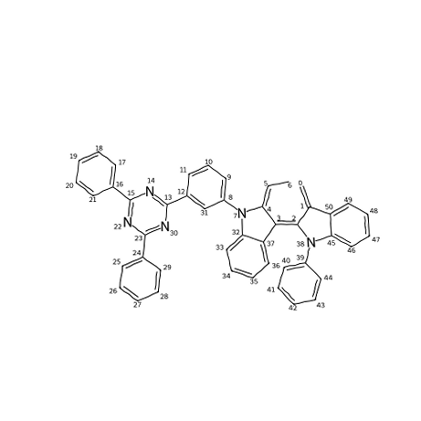 C=c1/c(=c2\c(=C/C)n(-c3cccc(-c4nc(-c5ccccc5)nc(-c5ccccc5)n4)c3)c3ccccc23)n(-c2ccccc2)c2ccccc12